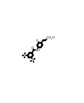 CS(C)(C)c1cc(C(=O)Nc2ccc(/C=C/C(=O)O)c(F)c2)cc(S(C)(C)C)c1